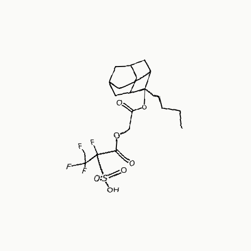 CCCCC1(OC(=O)COC(=O)C(F)(C(F)(F)F)S(=O)(=O)O)C2CC3CC(C2)CC1C3